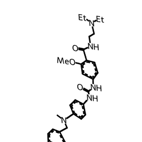 CCN(CC)CCNC(=O)c1ccc(NC(=O)Nc2ccc(N(C)Cc3ccccc3)cc2)cc1OC